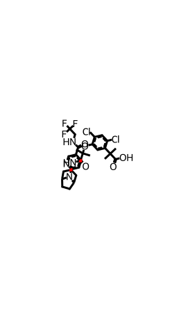 CC(C)(Oc1cc(C(C)(C)C(=O)O)c(Cl)cc1Cl)C(=O)NC1CC2CCC(C1)N2c1ccc(C(=O)NCC(F)(F)F)cn1